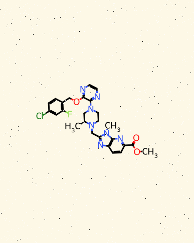 COC(=O)c1ccc2nc(CN3CCN(c4nccnc4OCc4ccc(Cl)cc4F)C[C@@H]3C)n(C)c2n1